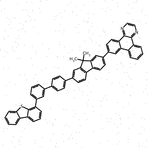 CC1(C)c2cc(-c3ccc(-c4cccc(-c5cccc6c5sc5ccccc56)c4)cc3)ccc2-c2ccc(-c3ccc4c(c3)c3ccccc3c3nccnc43)cc21